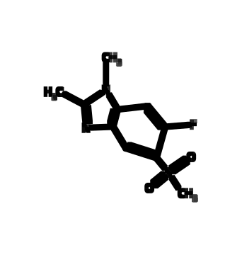 Cc1nc2cc(S(C)(=O)=O)c(F)cc2n1C